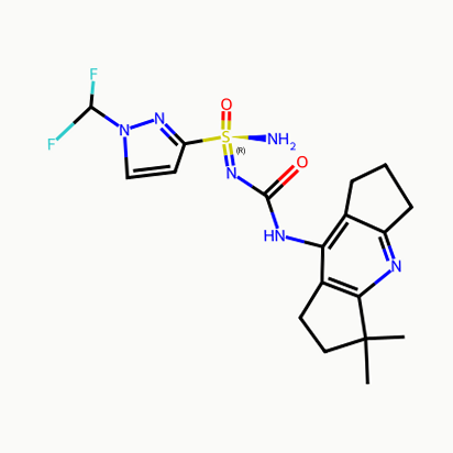 CC1(C)CCc2c1nc1c(c2NC(=O)N=[S@@](N)(=O)c2ccn(C(F)F)n2)CCC1